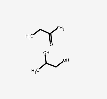 CC(O)CO.CCC(C)=O